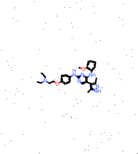 CCN(CC)CCOc1ccc(Nc2ncc(-c3c(C)n[nH]c3C)c(Nc3ccccc3OC)n2)cc1